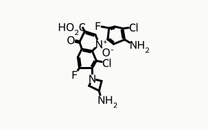 Nc1cc([N+]2([O-])C=C(C(=O)O)C(=O)c3cc(F)c(N4CC(N)C4)c(Cl)c32)c(F)cc1Cl